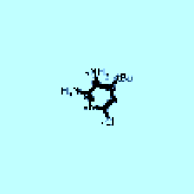 CC(C)(C)c1cc(Cl)nc(N)c1N